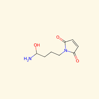 NC(O)CCCN1C(=O)C=CC1=O